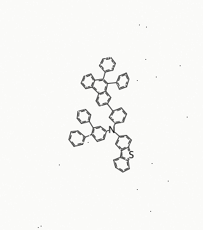 c1ccc(-c2ccc(N(c3cccc(-c4ccc5c(c4)c(-c4ccccc4)c(-c4ccccc4)c4ccccc45)c3)c3ccc4sc5ccccc5c4c3)cc2-c2ccccc2)cc1